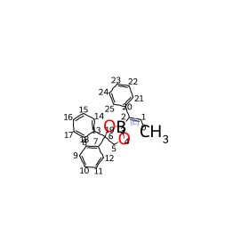 C/C=C(\B1OCC(c2ccccc2)(c2ccccc2)O1)c1ccccc1